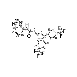 O=C(/C=C/C=C(c1ccc(C(F)(F)F)cc1)c1ccc(C(F)(F)F)cc1)Nc1cccc2nonc12